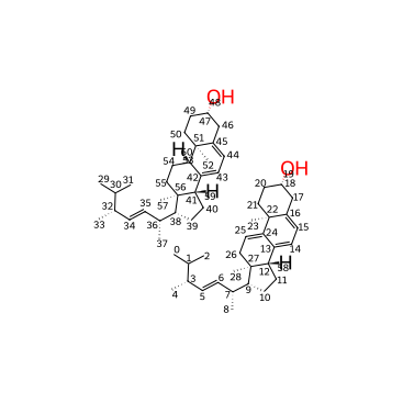 CC(C)[C@@H](C)/C=C/[C@@H](C)[C@H]1CC[C@H]2C3=CC=C4C[C@@H](O)CC[C@]4(C)C3=CC[C@]12C.CC(C)[C@@H](C)/C=C/[C@@H](C)[C@H]1CC[C@H]2C3=CC=C4C[C@@H](O)CC[C@]4(C)[C@H]3CC[C@]12C